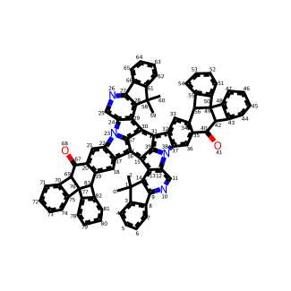 CC1(C)c2ccccc2-c2ncc3c(c21)c1c2c4cc5c(cc4n4c6cnc7c(c6c(c6c8cc9c(cc8n3c61)C(=O)C1c3ccccc3C13c1ccccc1C93)c24)C(C)(C)c1ccccc1-7)C(=O)C1c2ccccc2C12c1ccccc1C52